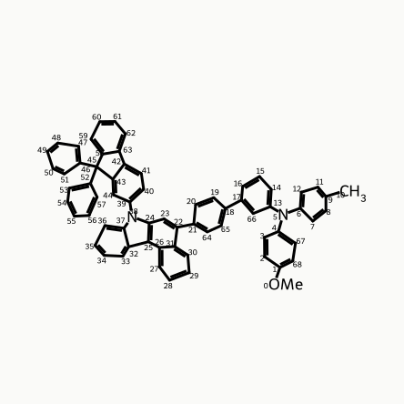 COc1ccc(N(c2ccc(C)cc2)c2cccc(-c3ccc(-c4cc5c(c6ccccc46)c4ccccc4n5-c4ccc5c(c4)C(c4ccccc4)(c4ccccc4)c4ccccc4-5)cc3)c2)cc1